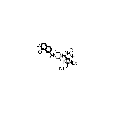 CCn1c(CC#N)nc2c(N3C[C@@H](C)N(C(C)c4ccc5ccn(C)c(=O)c5c4)C[C@@H]3C)nc(=O)n(C)c21